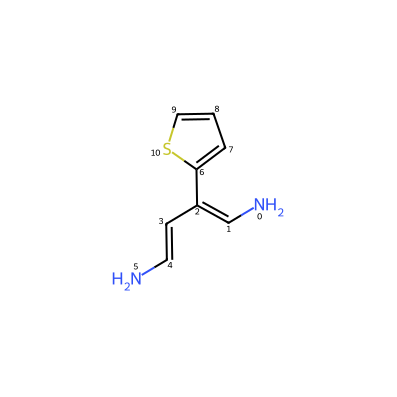 N/C=C(/C=C/N)c1cccs1